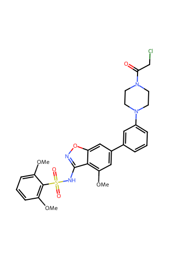 COc1cccc(OC)c1S(=O)(=O)Nc1noc2cc(-c3cccc(N4CCN(C(=O)CCl)CC4)c3)cc(OC)c12